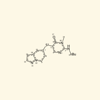 CCCCNc1ncc(Sc2ccn3nccc3c2)c(=O)n1C